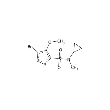 COc1c(Br)csc1S(=O)(=O)N(C)C1CC1